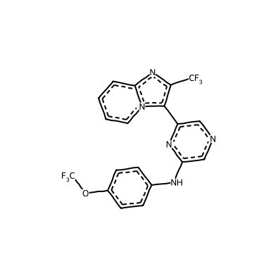 FC(F)(F)Oc1ccc(Nc2cncc(-c3c(C(F)(F)F)nc4ccccn34)n2)cc1